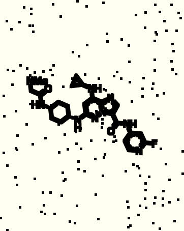 CNCC(=O)N[C@H]1CC[C@H](Nc2cc(NC3CC3)c3ncc(C(=O)Nc4ccnc(F)c4)n3n2)CC1